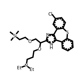 CCN(CC)CCCOC(COCC[Si](C)(C)C)c1nc2c([nH]1)-c1ccccc1Sc1ccc(Cl)cc1-2